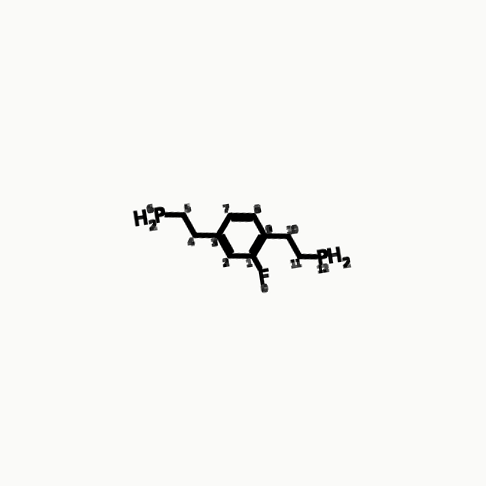 Fc1cc(CCP)ccc1CCP